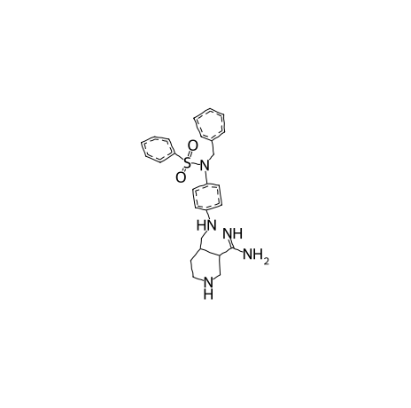 N=C(N)C1CNCCC1CNc1ccc(N(Cc2ccccc2)S(=O)(=O)c2ccccc2)cc1